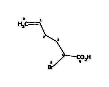 C=CCCC(Br)C(=O)O